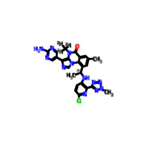 [2H]C([2H])([2H])n1c(=O)c2cc(C)cc([C@H](C)Nc3ccc(Cl)nc3-c3nnn(C)n3)c2n2cnc(-c3cnc(N)nc3)c12